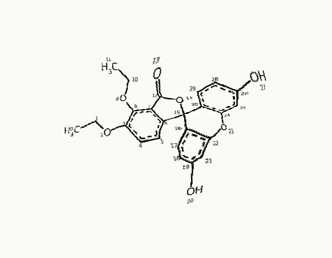 CCOc1ccc2c(c1OCC)C(=O)OC21c2ccc(O)cc2Oc2cc(O)ccc21